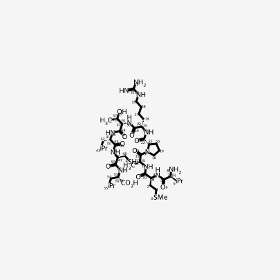 CSCC[C@H](NC(=O)[C@@H](N)C(C)C)C(=O)N[C@@H](C)C(=O)N1CCC[C@H]1C(=O)N[C@@H](CCCCNC(=N)N)C(=O)N[C@H](C(=O)N[C@@H](CC(C)C)C(=O)N[C@@H](CS)C(=O)N[C@@H](CC(C)C)C(=O)O)[C@@H](C)O